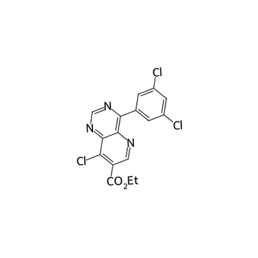 CCOC(=O)c1cnc2c(-c3cc(Cl)cc(Cl)c3)ncnc2c1Cl